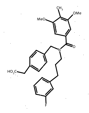 COc1cc(C(=O)N(CCCc2cccc(F)c2)Cc2ccc(CC(=O)O)cc2)cc(OC)c1C